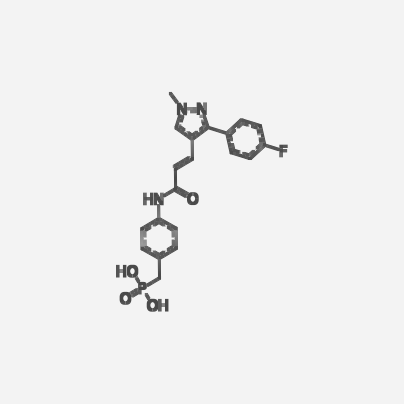 Cn1cc(C=CC(=O)Nc2ccc(CP(=O)(O)O)cc2)c(-c2ccc(F)cc2)n1